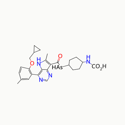 Cc1ccc(OCC2CC2)c(-c2ncnc3c(C(=O)[AsH]C4CCC(NC(=O)O)CC4)c(C)[nH]c23)c1